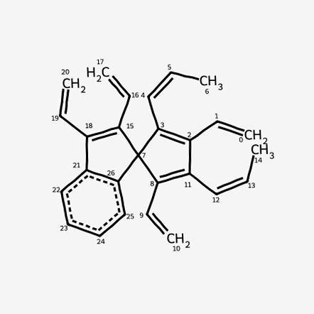 C=CC1=C(/C=C\C)C2(C(C=C)=C1/C=C\C)C(C=C)=C(C=C)c1ccccc12